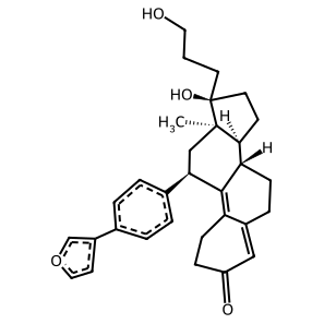 C[C@@]12C[C@H](c3ccc(-c4ccoc4)cc3)C3=C4CCC(=O)C=C4CC[C@H]3[C@@H]1CC[C@@]2(O)CCCO